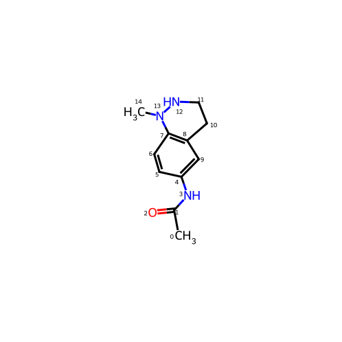 CC(=O)Nc1ccc2c(c1)CCNN2C